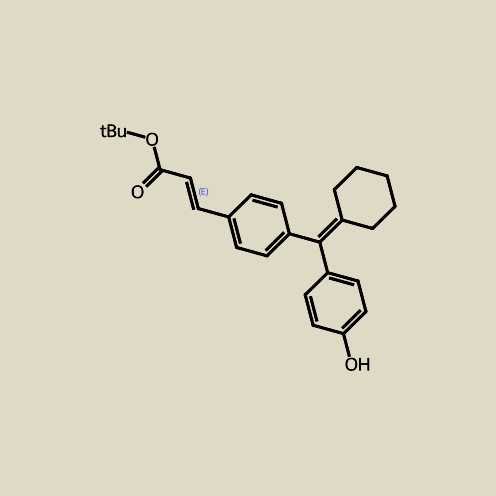 CC(C)(C)OC(=O)/C=C/c1ccc(C(=C2CCCCC2)c2ccc(O)cc2)cc1